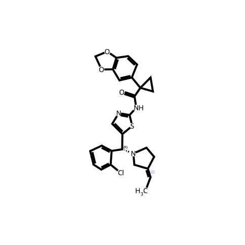 C/C=C1/CCN([C@@H](c2cnc(NC(=O)C3(c4ccc5c(c4)OCO5)CC3)s2)c2ccccc2Cl)C1